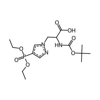 CCOP(=O)(OCC)c1cnn(CC(NC(=O)OC(C)(C)C)C(=O)O)c1